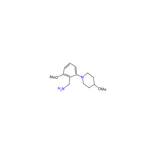 COc1cccc(N2CCC(OC)CC2)c1CN